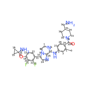 Cc1cc(Nc2nccn3c(-c4ccc(OC5(N)CC5)c(F)c4F)cnc23)ccc1C(=O)N1CCC(CN)CC1